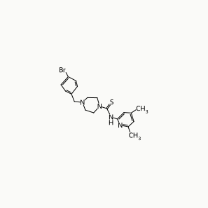 Cc1cc(C)nc(NC(=S)N2CCN(Cc3ccc(Br)cc3)CC2)c1